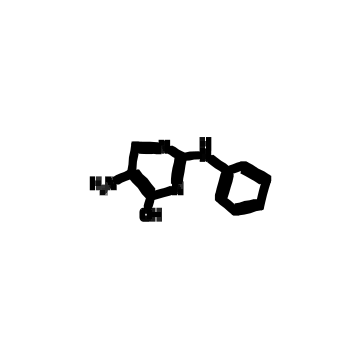 Nc1cnc(Nc2ccccc2)nc1O